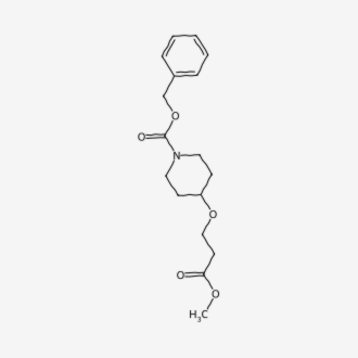 COC(=O)CCOC1CCN(C(=O)OCc2ccccc2)CC1